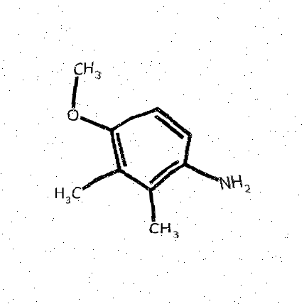 COc1ccc(N)c(C)c1C